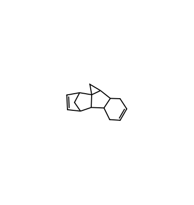 C1=CCC2C(C1)C1CC13C1C=CC(C1)C23